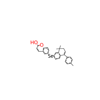 Cc1ccc(C2=CCC(C)(C)c3cc([Se]c4cccc(/C=C\C(=O)O)c4)ccc32)cc1